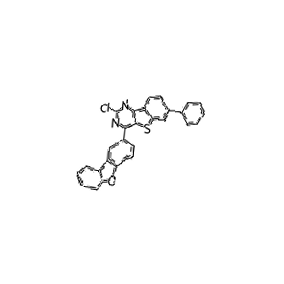 Clc1nc(-c2ccc3oc4ccccc4c3c2)c2sc3cc(-c4ccccc4)ccc3c2n1